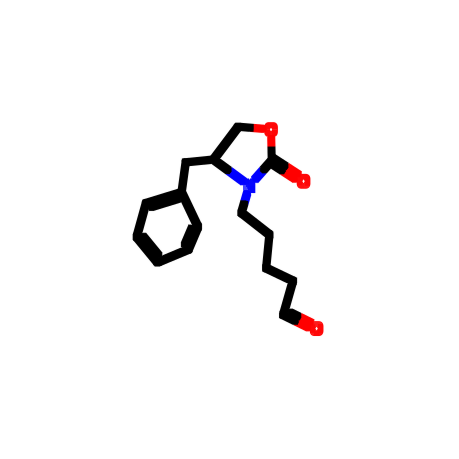 O=CCCCCN1C(=O)OCC1Cc1ccccc1